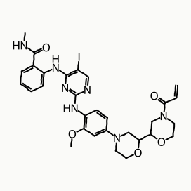 C=CC(=O)N1CCOC(C2CN(c3ccc(Nc4ncc(I)c(Nc5ccccc5C(=O)NC)n4)c(OC)c3)CCO2)C1